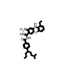 CCCC(CCC(C)C)c1ccc(C(=O)NC(=N)c2ccc(Nc3c(F)cccc3CC)cc2N)cc1